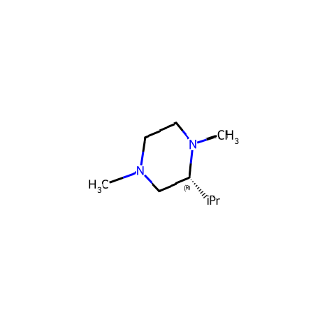 CC(C)[C@@H]1CN(C)CCN1C